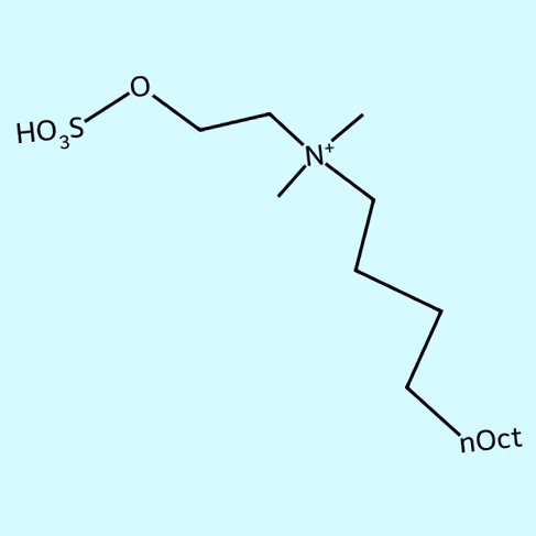 CCCCCCCCCCCC[N+](C)(C)CCOS(=O)(=O)O